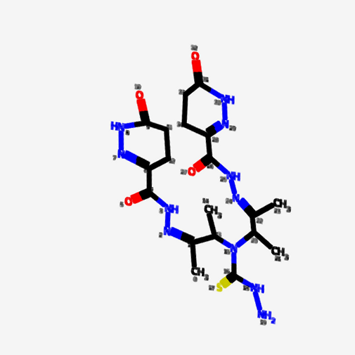 CC(=NNC(=O)C1=NNC(=O)CC1)C(C)N(C(=S)NN)C(C)C(C)=NNC(=O)C1=NNC(=O)CC1